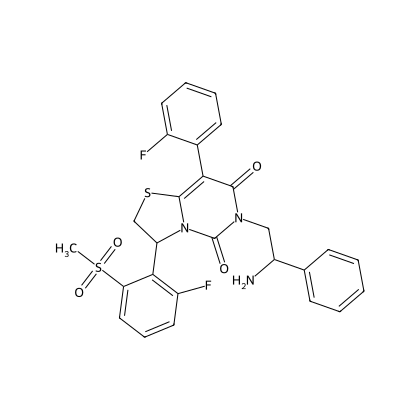 CS(=O)(=O)c1cccc(F)c1C1CSc2c(-c3ccccc3F)c(=O)n(CC(N)c3ccccc3)c(=O)n21